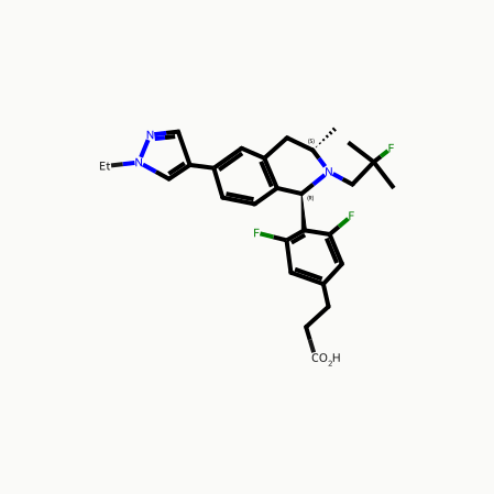 CCn1cc(-c2ccc3c(c2)C[C@H](C)N(CC(C)(C)F)[C@H]3c2c(F)cc(CCC(=O)O)cc2F)cn1